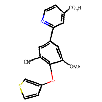 [C-]#[N+]c1cc(-c2cc(C(=O)O)ccn2)cc(OC)c1Oc1ccsc1